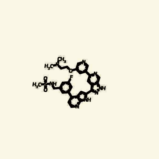 CN(C)CCOc1cncc(-c2cc3c(-c4cc5c(-c6cc(F)cc(CNS(C)(=O)=O)c6)ccnc5[nH]4)n[nH]c3cn2)c1